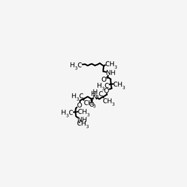 CCCCCCC(C)CNC(=O)CC(C)(C)COCC(C)(C)CNC(=O)CC(C)(C)COCC(C)(C)CNC